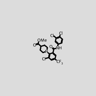 COC(=O)C1CCN(c2c(Cl)cc(C(F)(F)F)cc2C(=O)Nc2ccc(Cl)c(Cl)c2)CC1